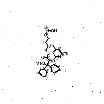 COC(c1ccccc1)(c1ccccc1)[C@H](Oc1nc(C)cc(C)n1)C(=O)OCCCCON(O)O